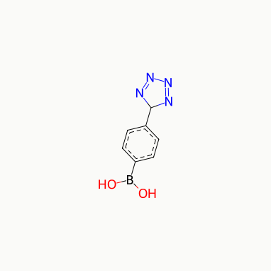 OB(O)c1ccc(C2N=NN=N2)cc1